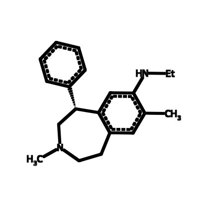 CCNc1cc2c(cc1C)CCN(C)C[C@@H]2c1ccccc1